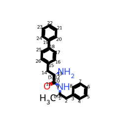 C[C@@H](Cc1ccccc1)NC(=O)[C@@H](N)Cc1ccc(-c2ccccc2)cc1